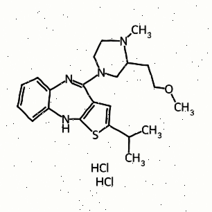 COCCC1CN(C2=Nc3ccccc3Nc3sc(C(C)C)cc32)CCN1C.Cl.Cl